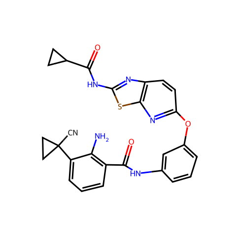 N#CC1(c2cccc(C(=O)Nc3cccc(Oc4ccc5nc(NC(=O)C6CC6)sc5n4)c3)c2N)CC1